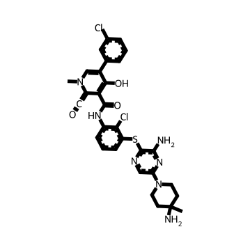 CN1C=C(c2cccc(Cl)c2)C(O)=C(C(=O)Nc2cccc(Sc3ncc(N4CCC(C)(N)CC4)nc3N)c2Cl)C1=C=O